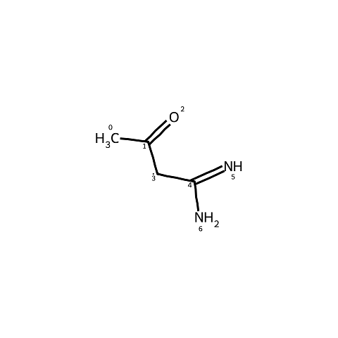 CC(=O)[CH]C(=N)N